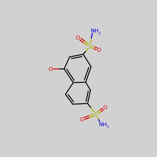 NS(=O)(=O)c1ccc2c([O])cc(S(N)(=O)=O)cc2c1